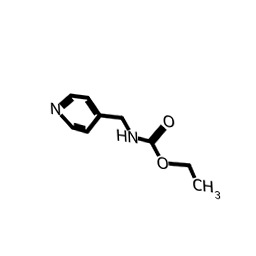 CCOC(=O)NCc1ccncc1